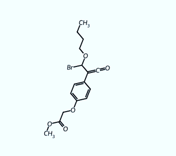 CCCCOC(Br)C(=C=O)c1ccc(OCC(=O)OC)cc1